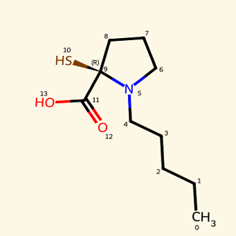 CCCCCN1CCC[C@@]1(S)C(=O)O